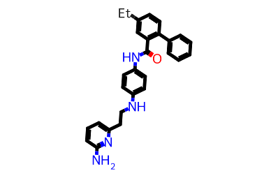 CCc1ccc(-c2ccccc2)c(C(=O)Nc2ccc(NCCc3cccc(N)n3)cc2)c1